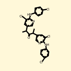 CC(C(=O)C(C)c1cnc(Nc2ccc(Cl)cc2)c(Cl)c1)c1cnc(Nc2ccc(Cl)cc2)c(Cl)c1